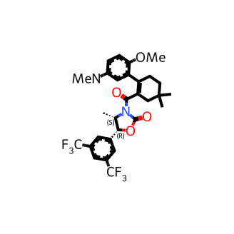 CNc1ccc(OC)c(C2=C(C(=O)N3C(=O)O[C@H](c4cc(C(F)(F)F)cc(C(F)(F)F)c4)[C@@H]3C)CC(C)(C)CC2)c1